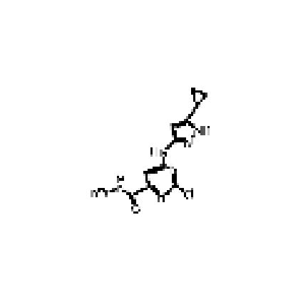 CCCNC(=O)c1cc(Nc2cc(C3CC3)[nH]n2)nc(Cl)n1